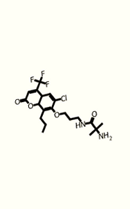 CCCC1=C(OCCCNC(=O)C(C)(C)N)C(Cl)=CC2C(C(F)(F)F)=CC(=O)OC12